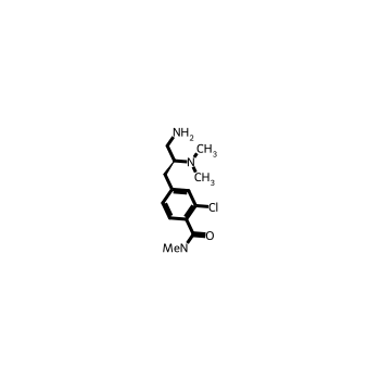 CNC(=O)c1ccc(C[C@@H](CN)N(C)C)cc1Cl